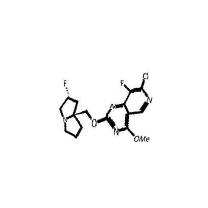 COc1nc(OC[C@@]23CCCN2C[C@H](F)C3)nc2c(F)c(Cl)ncc12